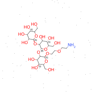 NCCOCCO[C@H]1OC(CO)[C@@H](O)C(O)C1O[C@H]1OC(CO)[C@@H](O)C(O)C1O[C@@H]1OC(CO)[C@@H](O)C(O)C1O